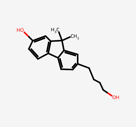 CC1(C)c2cc(O)ccc2-c2ccc(CCCCO)cc21